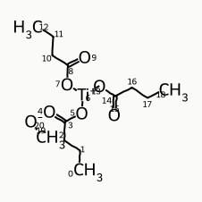 CCCC(=O)[O][Ti+]([O]C(=O)CCC)[O]C(=O)CCC.C[O-]